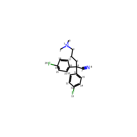 CN(C)CCCC(C#N)(c1ccc(F)cc1)c1ccc(F)cc1